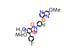 COc1cnc2c(Oc3ccc(NC(=O)c4cn(C)c(OC)c(-c5ccc(F)cc5)c4=O)cc3F)ccnc2c1